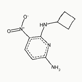 Nc1ccc([N+](=O)[O-])c(NC2CCC2)n1